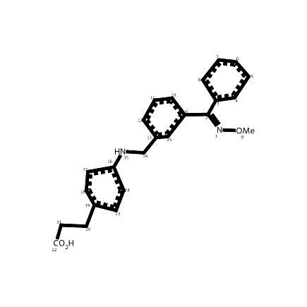 CO/N=C(\c1ccccc1)c1cccc(CNc2ccc(CCC(=O)O)cc2)c1